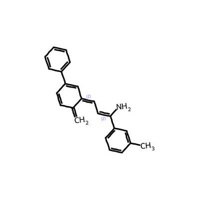 C=c1ccc(-c2ccccc2)c/c1=C/C=C(\N)c1cccc(C)c1